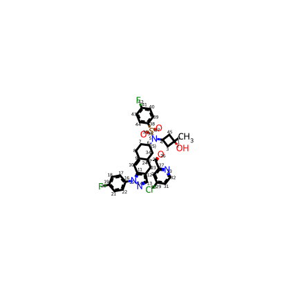 CC1(O)CC(N([C@H]2CCC3=Cc4c(cnn4-c4ccc(F)cc4)C[C@]3(C(=O)c3cc(Cl)ccn3)C2)S(=O)(=O)c2ccc(F)cc2)C1